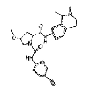 C#Cc1ccc(NC(=O)N2C[C@H](OC)C[C@@H]2C(=O)Nc2ccc3c(c2)C(C)N(C)CC3)cc1